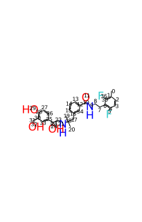 Cc1ccc(F)c(CCNC(=O)c2cccc(CC(C)(C)NC[C@@H](O)c3ccc(O)c(CO)c3)c2)c1F